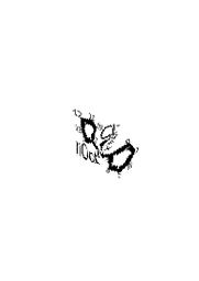 CCCCCCCC[N+](C)(c1ccccc1)c1ccccc1.[Cl-]